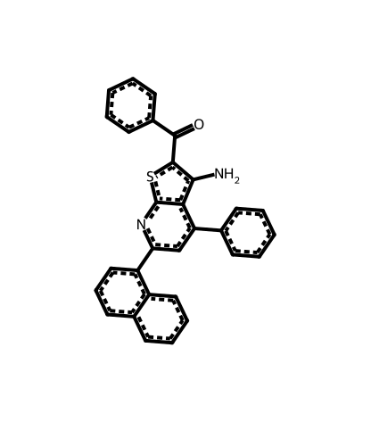 Nc1c(C(=O)c2ccccc2)sc2nc(-c3cccc4ccccc34)cc(-c3ccccc3)c12